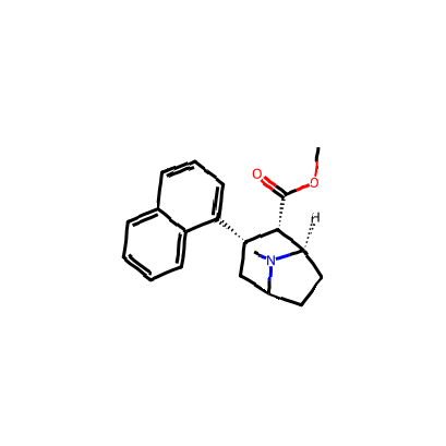 COC(=O)[C@H]1[C@@H](c2cccc3ccccc23)CC2CC[C@H]1N2C